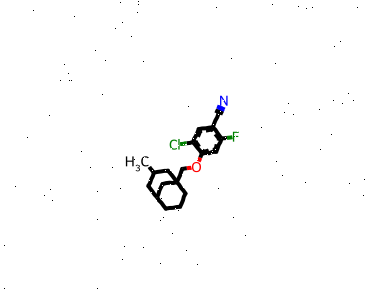 CC1CC2CCCC(COc3cc(F)c(C#N)cc3Cl)(C1)C2